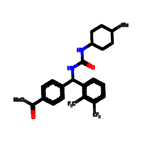 COC(=O)c1ccc(C(NC(=O)NC2CCC(C(C)(C)C)CC2)c2cccc(C(F)(F)F)c2C(F)(F)F)cc1